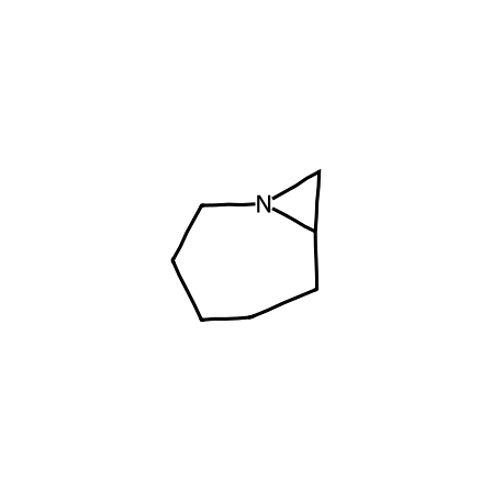 C1CCC2CN2CC1